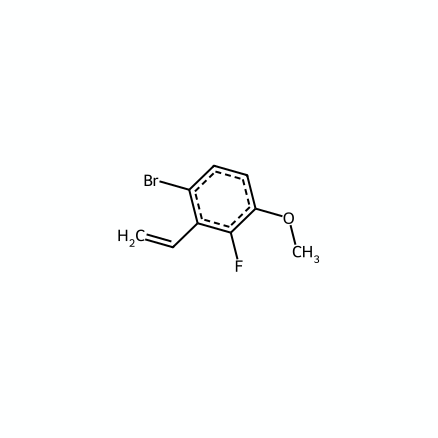 C=Cc1c(Br)ccc(OC)c1F